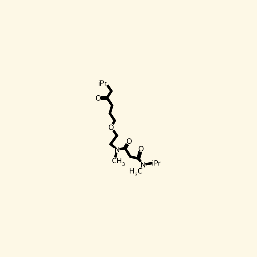 CC(C)CC(=O)CCCOCCN(C)C(=O)CC(=O)N(C)C(C)C